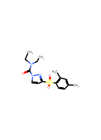 CCN(CC)C(=O)n1ccc(S(=O)(=O)c2ccc(C)cc2C)n1